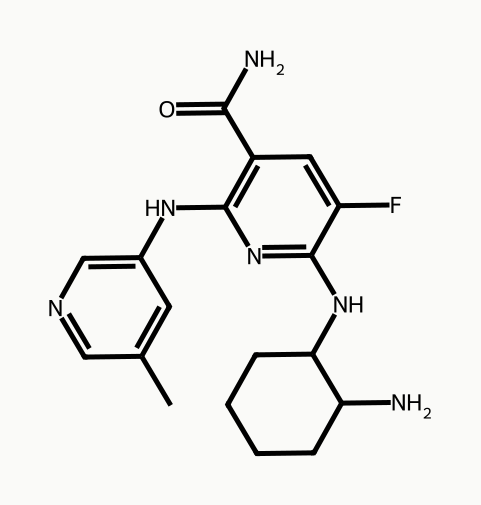 Cc1cncc(Nc2nc(NC3CCCCC3N)c(F)cc2C(N)=O)c1